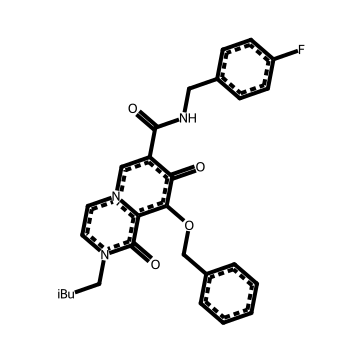 CCC(C)Cn1ccn2cc(C(=O)NCc3ccc(F)cc3)c(=O)c(OCc3ccccc3)c2c1=O